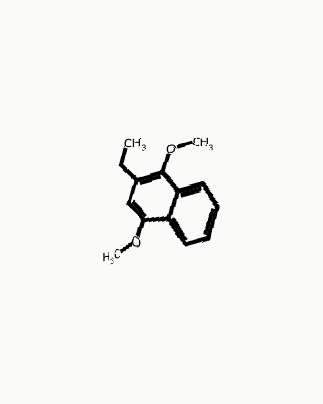 CCc1cc(OC)c2ccccc2c1OC